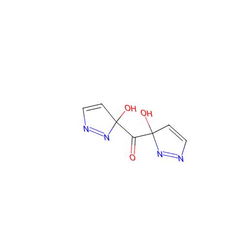 O=C(C1(O)C=CN=N1)C1(O)C=CN=N1